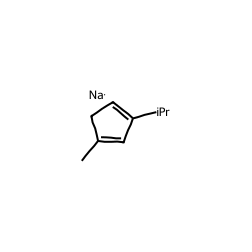 CC1=CC(C(C)C)=CC1.[Na]